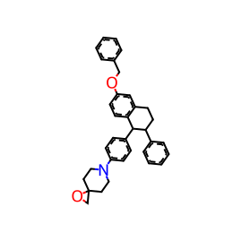 c1ccc(COc2ccc3c(c2)CCC(c2ccccc2)C3c2ccc(N3CCC4(CC3)CO4)cc2)cc1